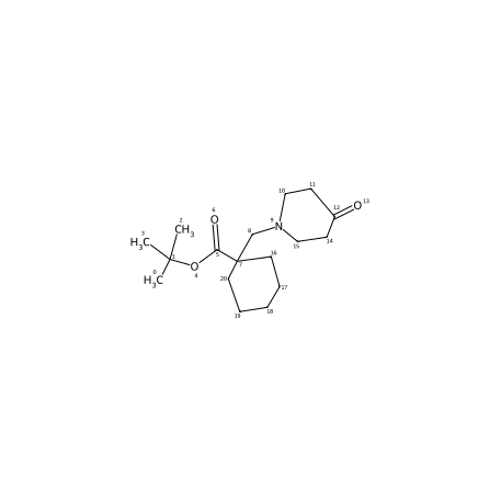 CC(C)(C)OC(=O)C1(CN2CCC(=O)CC2)CCCCC1